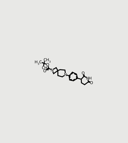 CC(C)(C)OC(=O)N1CC2(CCN(c3ccc(C4CCC(=O)NC4=O)cc3)CC2)C1